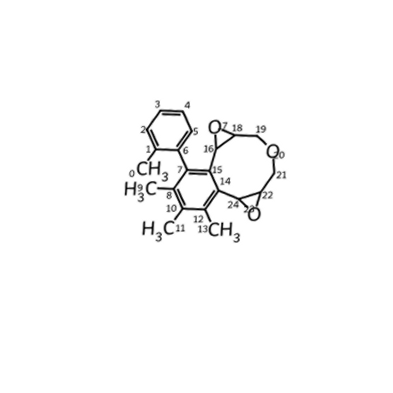 Cc1ccccc1-c1c(C)c(C)c(C)c2c1C1OC1COCC1OC21